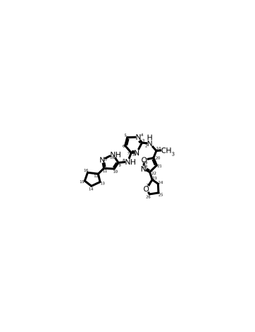 CC(Nc1nccc(Nc2cc(C3CCCC3)n[nH]2)n1)c1cc(C2CCCO2)no1